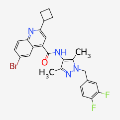 Cc1nn(Cc2ccc(F)c(F)c2)c(C)c1NC(=O)c1cc(C2CCC2)nc2ccc(Br)cc12